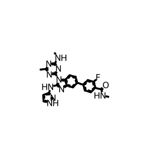 CNC(=O)c1ccc(-c2ccc3c(c2)nc(Nc2cc[nH]n2)n3-c2nc(C)nc(NC)n2)cc1F